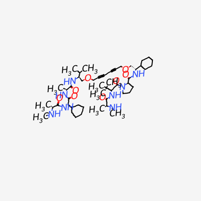 CN[C@@H](C)C(=O)N[C@H](C(=O)N1CCCC1C(=O)N[C@H](COCC#CC#CCOC[C@@H](NC(=O)[C@H](C)NC(=O)[C@H](NC(=O)[C@@H](C)NC)C1CCCCC1)C(C)C)C1CCCCC1)C(C)(C)C